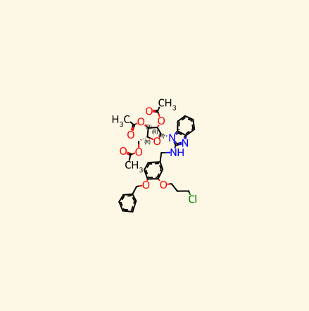 CC(=O)OC[C@H]1O[C@@H](n2c(NCc3ccc(OCc4ccccc4)c(OCCCCl)c3)nc3ccccc32)[C@H](OC(C)=O)[C@@H]1OC(C)=O